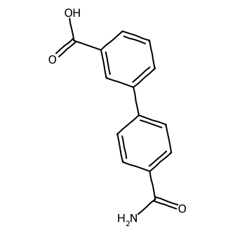 NC(=O)c1ccc(-c2cccc(C(=O)O)c2)cc1